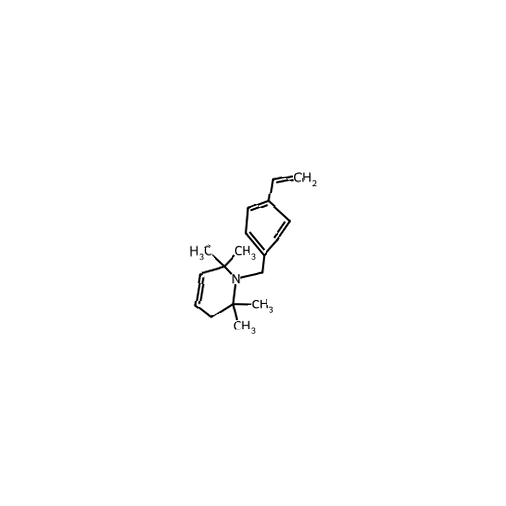 C=Cc1ccc(CN2C(C)(C)C=CCC2(C)C)cc1